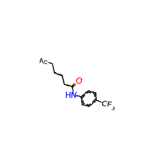 CC(=O)CCCCC(=O)Nc1ccc(C(F)(F)F)cc1